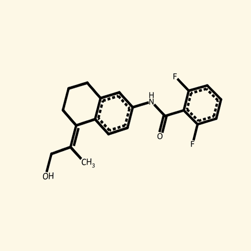 C/C(CO)=C1/CCCc2cc(NC(=O)c3c(F)cccc3F)ccc21